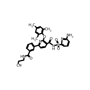 Cc1cc(C)c(Oc2nc(-c3cccc(C(=O)NCCC#N)c3)ccc2C(=O)NS(=O)(=O)c2cccc(N)n2)c(C)c1